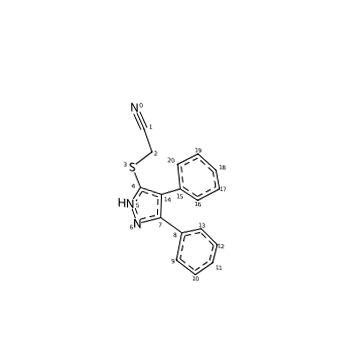 N#CCSc1[nH]nc(-c2ccccc2)c1-c1ccccc1